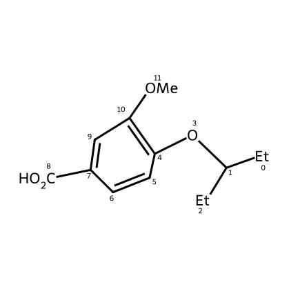 CCC(CC)Oc1ccc(C(=O)O)cc1OC